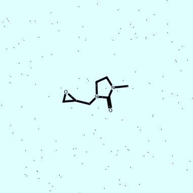 CN1CCN(CC2CO2)C1=O